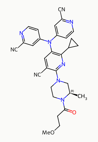 COCCC(=O)N1CCN(c2nc(C3CC3)c(N(c3ccnc(C#N)c3)c3ccnc(C#N)c3)cc2C#N)C[C@H]1C